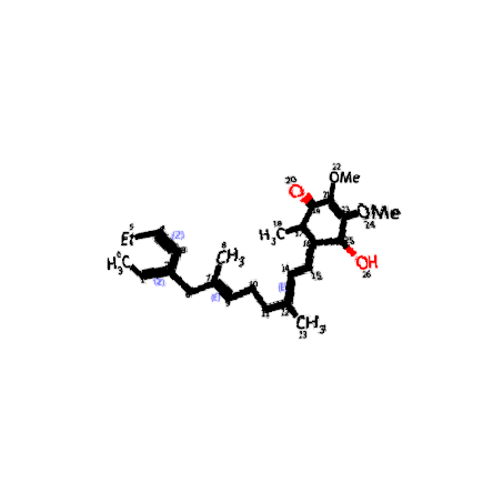 C/C=C(\C=C/CC)C/C(C)=C/CC/C(C)=C/CC1C(C)C(=O)C(OC)=C(OC)C1O